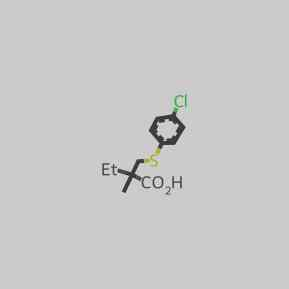 CCC(C)(CSc1ccc(Cl)cc1)C(=O)O